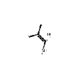 CC(C)=CS.I